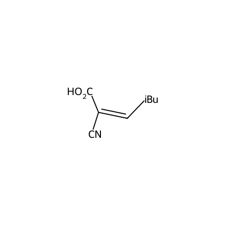 CCC(C)C=C(C#N)C(=O)O